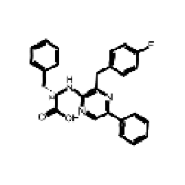 O=C(O)[C@H](Cc1ccccc1)Nc1ncc(-c2ccccc2)nc1Cc1ccc(F)cc1